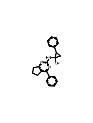 N#CC1(Nc2nc3c(c(-c4ccccc4)n2)CCC3)CC1c1ccccc1